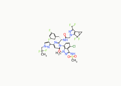 Cn1nc(NS(C)(=O)=O)c2c(Cl)ccc(-n3c([C@H](CC4=CC(F)=CC(F)C4)NC(=O)Cn4nc(C(F)F)c5c4C(F)(F)C4CC54)nc(-c4ccn(CC(C)(F)F)n4)cc3=O)c21